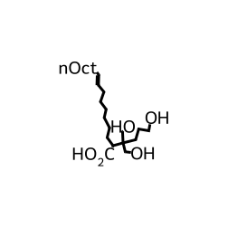 CCCCCCCCC=CCCCCCCC(C(=O)O)C(CO)(CO)CCCO